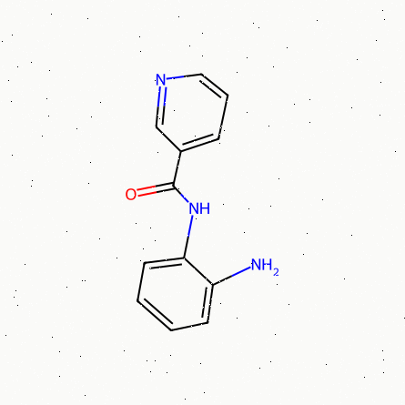 Nc1ccccc1NC(=O)c1cccnc1